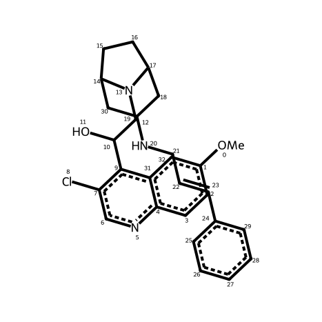 COc1ccc2ncc(Cl)c(C(O)CN3C4CCC3CC(NC/C=C/c3ccccc3)C4)c2c1